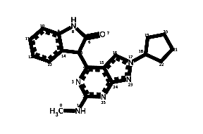 CNc1nc(C2C(=O)Nc3ccccc32)c2cn(C3CCCC3)nc2n1